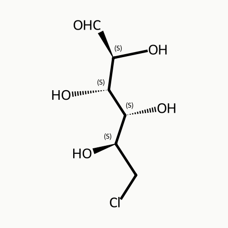 O=C[C@@H](O)[C@@H](O)[C@H](O)[C@H](O)CCl